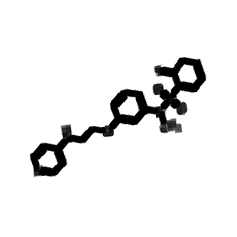 CN(c1cccc(OCCNc2ccncc2)c1)S(=O)(=O)C1=CC=CCC1=S